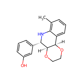 Cc1cccc2c1N[C@@H](c1cccc(O)c1)[C@@H]1OCCO[C@H]21